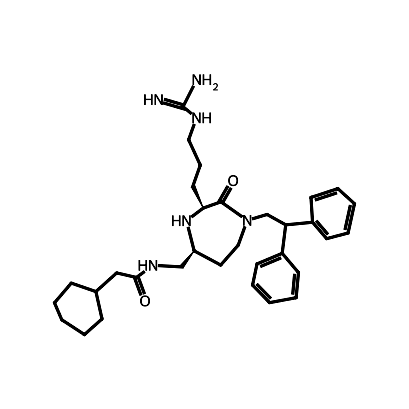 N=C(N)NCCC[C@@H]1N[C@H](CNC(=O)CC2CCCCC2)CCN(CC(c2ccccc2)c2ccccc2)C1=O